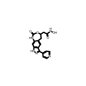 O=C(CC1Cc2cc3c(-c4ccncc4)n[nH]c3cc2NC(=O)O1)NO